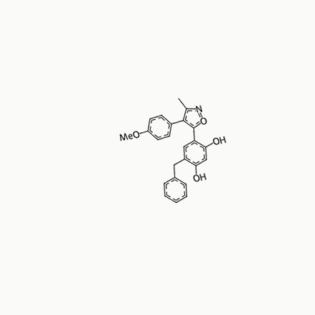 COc1ccc(-c2c(C)noc2-c2cc(Cc3ccccc3)c(O)cc2O)cc1